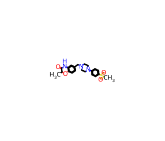 CC1Oc2ccc(CN3CCN(c4ccc(S(C)(=O)=O)cc4)CC3)cc2NC1=O